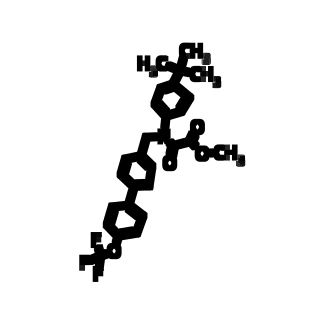 COC(=O)C(=O)N(Cc1ccc(-c2ccc(OC(F)(F)F)cc2)cc1)c1ccc(C(C)(C)C)cc1